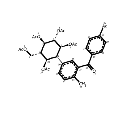 CC(=O)OC[C@@H]1[C@@H](OC(C)=O)[C@H](OC(C)=O)[C@@H](OC(C)=O)[C@H](c2ccc(C)c(C(=O)c3ccc(C(C)=O)cc3)c2)[C@H]1OC(C)=O